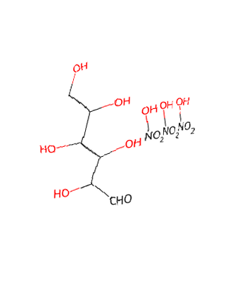 O=CC(O)C(O)C(O)C(O)CO.O=[N+]([O-])O.O=[N+]([O-])O.O=[N+]([O-])O